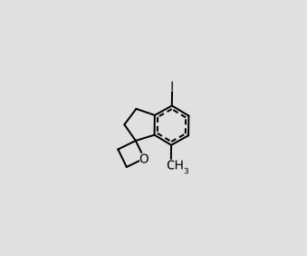 Cc1ccc(I)c2c1C1(CCO1)CC2